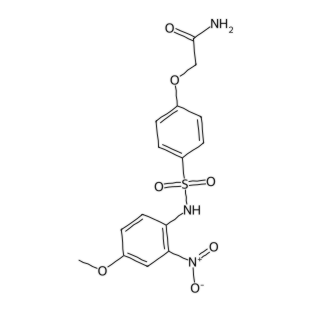 COc1ccc(NS(=O)(=O)c2ccc(OCC(N)=O)cc2)c([N+](=O)[O-])c1